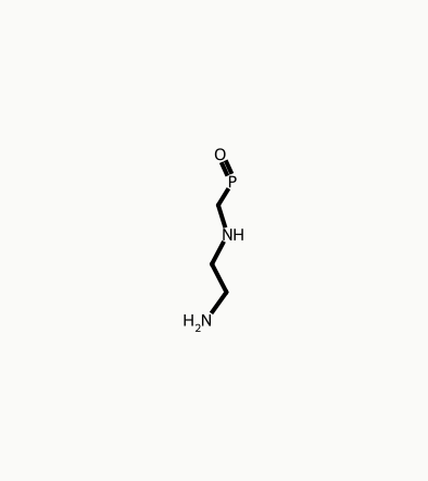 NCCNCP=O